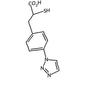 O=C(O)C(S)Cc1ccc(-n2ccnn2)cc1